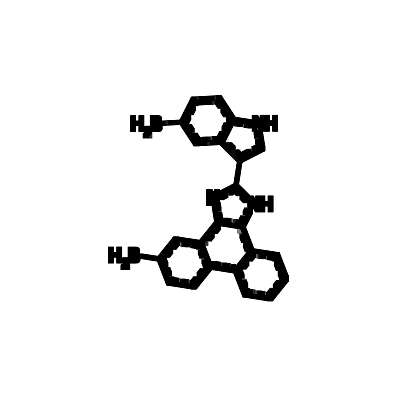 Bc1ccc2[nH]cc(-c3nc4c5cc(B)ccc5c5ccccc5c4[nH]3)c2c1